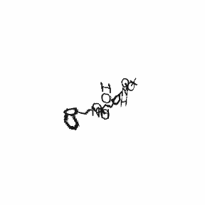 CC(C)(C)OC(=O)NCc1ccc(C=CC(=O)ONCCc2cccc3ccccc23)c(O)c1